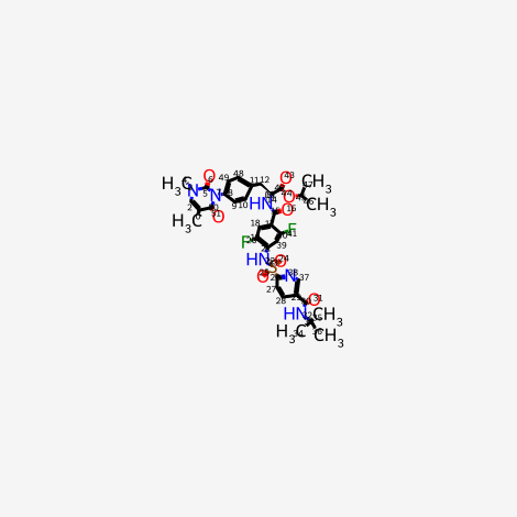 Cc1cn(C)c(=O)n(-c2ccc(C[C@H](NC(=O)c3cc(F)c(NS(=O)(=O)c4ccc(C(=O)NC(C)(C)C)cn4)cc3F)C(=O)OC(C)C)cc2)c1=O